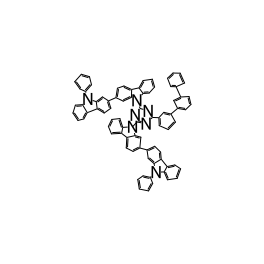 c1ccc(-c2cccc(-c3cccc(-c4nc(-n5c6ccccc6c6ccc(-c7ccc8c9ccccc9n(-c9ccccc9)c8c7)cc65)nc(-n5c6ccccc6c6ccc(-c7ccc8c9ccccc9n(-c9ccccc9)c8c7)cc65)n4)c3)c2)cc1